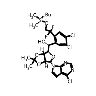 CC1(C)O[C@H]2[C@@H](O1)[C@H](n1ccc3c(Cl)ncnc31)O[C@@H]2[C@H](O)c1cc(Cl)c(Cl)cc1C(F)(F)CO[Si](C)(C)C(C)(C)C